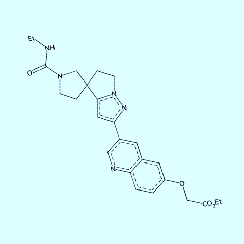 CCNC(=O)N1CCC2(CCn3nc(-c4cnc5ccc(OCC(=O)OCC)cc5c4)cc32)C1